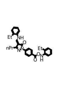 CCCC1=NN(c2ccc(C(=O)ONc3ccccc3CC)cc2)C(=O)C1=CNc1ccccc1CC